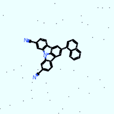 N#Cc1ccc2c3cc(-c4cccc5ccccc45)cc4c5ccc(C#N)cc5n(c2c1)c34